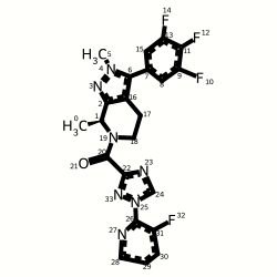 C[C@H]1c2nn(C)c(-c3cc(F)c(F)c(F)c3)c2CCN1C(=O)c1ncn(-c2ncccc2F)n1